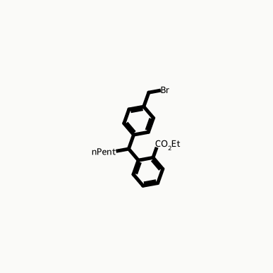 CCCCCC(c1ccc(CBr)cc1)c1ccccc1C(=O)OCC